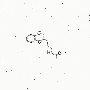 CC(=O)NCCCC1COc2ccccc2O1